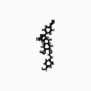 CCc1ccc(CCOc2cc3c(cc2OC)-c2[nH]nc(-c4ccc(C#N)cc4)c2C3)nc1